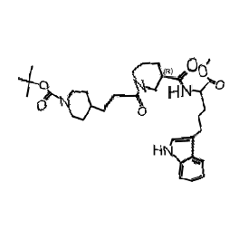 COC(=O)C(CCCc1c[nH]c2ccccc12)NC(=O)[C@@H]1CCCN(C(=O)CCC2CCN(C(=O)OC(C)(C)C)CC2)C1